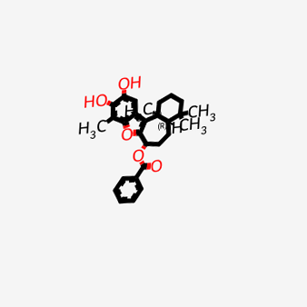 Cc1c(O)c(O)cc2c3c(oc12)C(OC(=O)c1ccccc1)CC[C@@H]1C(C)(C)CCC[C@@]31C